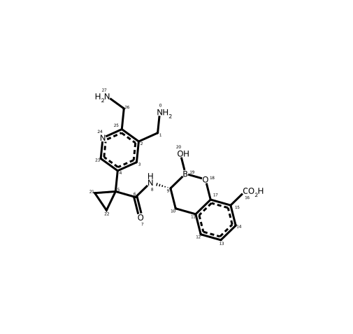 NCc1cc(C2(C(=O)N[C@H]3Cc4cccc(C(=O)O)c4OB3O)CC2)cnc1CN